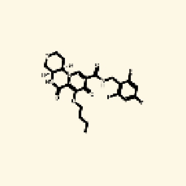 CCCCOc1c2n(cc(C(=O)NCc3c(F)cc(F)cc3F)c1=O)[C@@H]1CCOC[C@@H]1NC2=O